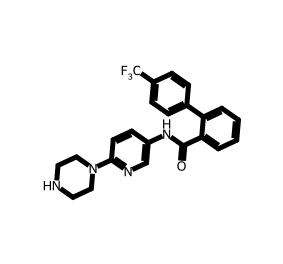 O=C(Nc1ccc(N2CCNCC2)nc1)c1ccccc1-c1ccc(C(F)(F)F)cc1